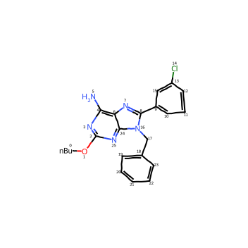 CCCCOc1nc(N)c2nc(-c3cccc(Cl)c3)n(Cc3ccccc3)c2n1